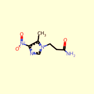 Cc1c([N+](=O)[O-])ncn1CCC(N)=O